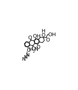 [N-]=[N+]=NCOc1cccc2c1C(=O)c1c(ON)c3c(c(O)c1C2=O)C[C@](O)(C(=O)CO)CC3